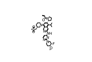 C=CC(=O)N1CCC[C@@H]1c1cc(N2CCC[C@H](CS(C)(=O)=O)C2)c2cnc(Nc3ccnc(N4CC[C@@H](OC)[C@@H](F)C4)n3)cc2c1C(C)C